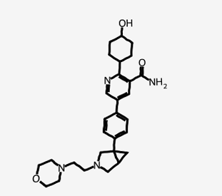 NC(=O)c1cc(-c2ccc(C34CC3CN(CCN3CCOCC3)C4)cc2)cnc1C1CCC(O)CC1